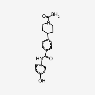 BC(=O)N1CCC(c2ccc(C(=O)Nc3ccc(O)cc3)cc2)CC1